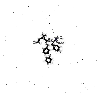 CC1(C)C(C=C(Cl)Cl)C1C(=O)O[C@H](C#N)c1cccc(Oc2ccccc2)c1.CCN(Cc1ccc(Cl)nc1)/C(=C/[N+](=O)[O-])NC